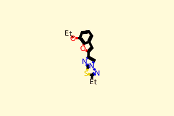 CCOc1cccc2cc(-c3cn4nc(CC)sc4n3)oc12